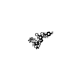 C[C@H](Nc1c(C#N)c(Cl)nc2c1ccn2[C@@H]1O[C@H](CO[Si](C)(C)C(C)(C)C)[C@H]2OC(C)(C)O[C@H]21)c1ccc(F)cc1